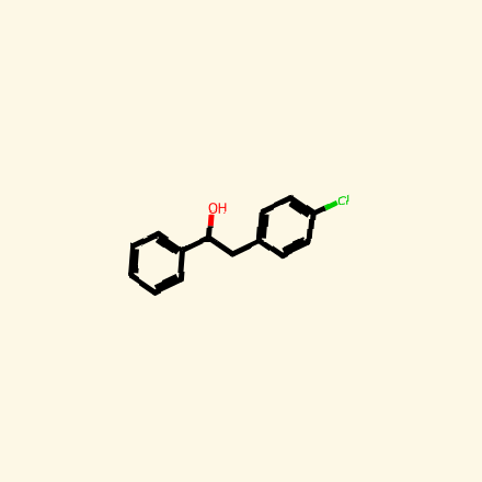 O[C](Cc1ccc(Cl)cc1)c1ccccc1